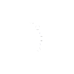 COc1ccc(/C=C/C(=O)CC(=O)/C=C/c2ccco2)cc1O